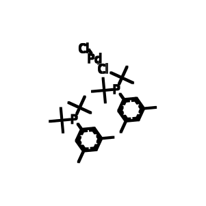 Cc1cc(C)cc(P(C(C)(C)C)C(C)(C)C)c1.Cc1cc(C)cc(P(C(C)(C)C)C(C)(C)C)c1.[Cl][Pd][Cl]